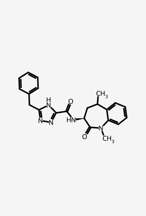 CC1C[C@H](NC(=O)c2nnc(Cc3ccccc3)[nH]2)C(=O)N(C)c2ccccc21